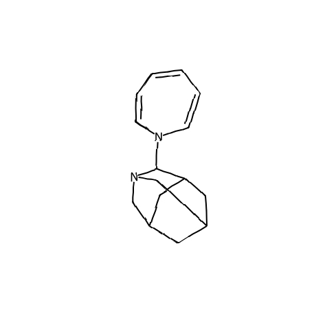 C1=CC=CN(C2C3CC4CC(C3)CN2C4)C=C1